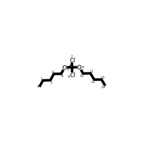 CCCCCOC(Cl)(Cl)OCCCCC